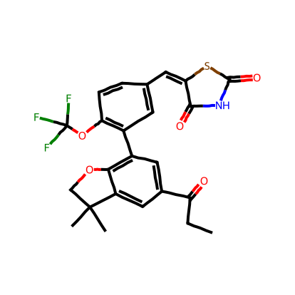 CCC(=O)c1cc(-c2cc(C=C3SC(=O)NC3=O)ccc2OC(F)(F)F)c2c(c1)C(C)(C)CO2